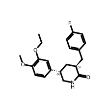 CCOc1cc([C@H]2CNC(=O)[C@H](Cc3ccc(F)cc3)C2)ccc1OC